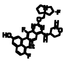 CCc1c(F)ccc2cc(O)cc(-c3ncc4c(NC5CCONC5)nc(OC[C@@]56CCCN5C[C@H](F)C6)nc4c3F)c12